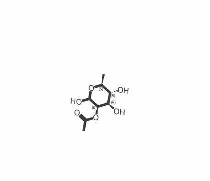 CC(=O)O[C@H]1C(O)O[C@@H](C)[C@H](O)[C@H]1O